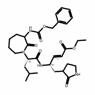 CCOC(=O)/C=C/[C@H](CC1CCNC1=O)NC(=O)[C@H](CC(C)C)N1CCCCC(NC(=O)OCc2ccccc2)C1=O